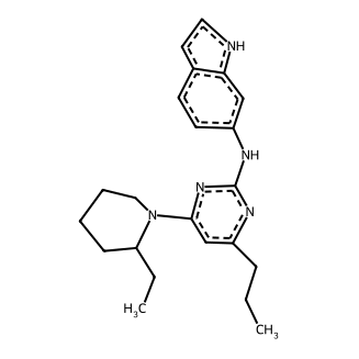 CCCc1cc(N2CCCCC2CC)nc(Nc2ccc3cc[nH]c3c2)n1